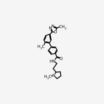 Cc1nnc(-c2ccc(C)c(-c3ccc(C(=O)NCCC4CCCN4C)cc3)c2)o1